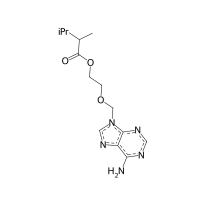 CC(C)C(C)C(=O)OCCOCn1cnc2c(N)ncnc21